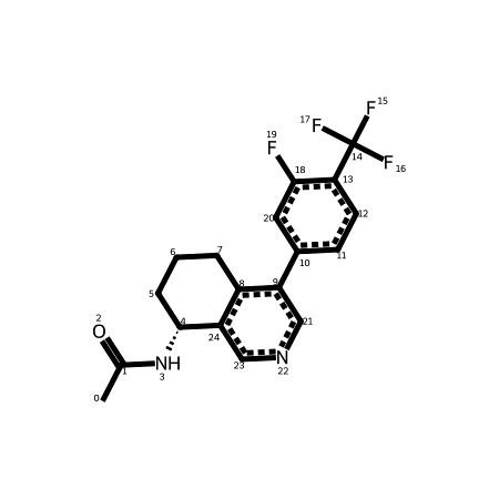 CC(=O)N[C@@H]1CCCc2c(-c3ccc(C(F)(F)F)c(F)c3)cncc21